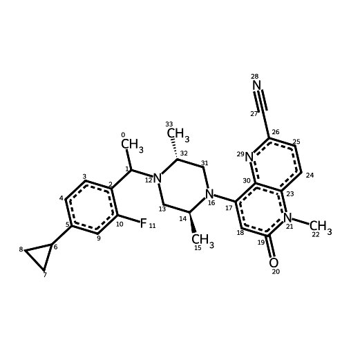 CC(c1ccc(C2CC2)cc1F)N1C[C@H](C)N(c2cc(=O)n(C)c3ccc(C#N)nc23)C[C@H]1C